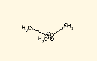 CCCCCCCCCCOC(=O)C(CC)C(=O)OCCCCCCCCCC